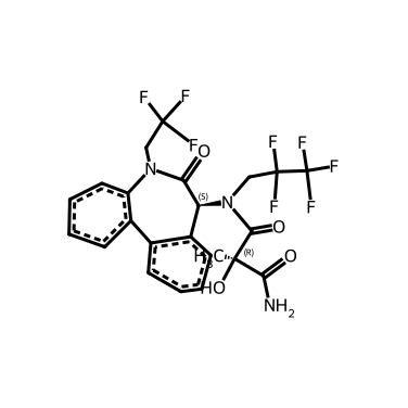 C[C@@](O)(C(N)=O)C(=O)N(CC(F)(F)C(F)(F)F)[C@@H]1C(=O)N(CC(F)(F)F)c2ccccc2-c2ccccc21